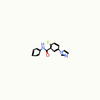 O=C(Nc1ccccc1)c1cc(-n2ccnc2)ccc1F